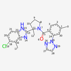 Cc1ccc(C(=O)N2CCCC2(C)c2nc3c(C)c(Cl)ccc3[nH]2)c(-n2nccn2)c1